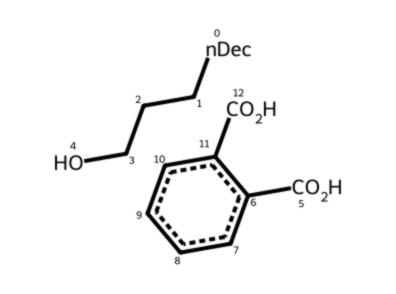 CCCCCCCCCCCCCO.O=C(O)c1ccccc1C(=O)O